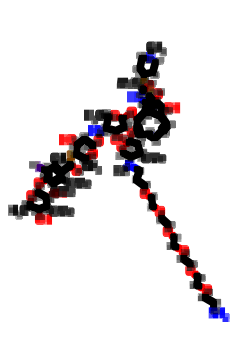 CCN(CCCOCCOCCOCCOCCOCCOCCN)[C@H]1CO[C@@H](O[C@H]2[C@H](O[C@H]3C#C/C=C/C#C[C@]4(O)CC(=O)C(NC(=O)OC)=C3/C4=C\CSSC3CCN(C)CC3)O[C@H](C)[C@@H](NO[C@H]3C[C@H](O)[C@H](SC(=O)c4c(C)c(I)c(O[C@@H]5O[C@@H](C)[C@H](O)[C@@H](OC)[C@H]5O)c(OC)c4OC)[C@@H](C)O3)[C@@H]2O)C[C@@H]1OC